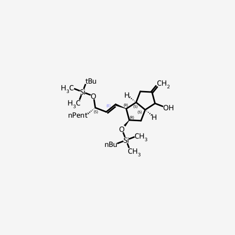 C=C1C[C@@H]2[C@H](/C=C/[C@H](CCCCC)O[Si](C)(C)C(C)(C)C)[C@H](O[Si](C)(C)CCCC)C[C@@H]2C1O